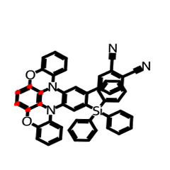 N#Cc1ccc(-c2cc(N3c4ccccc4Oc4ccccc43)c(N3c4ccccc4Oc4ccccc43)cc2[Si](c2ccccc2)(c2ccccc2)c2ccccc2)cc1C#N